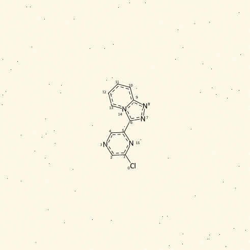 Clc1cncc(-c2nnc3ccccn23)n1